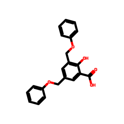 O=C(O)c1cc(COc2ccccc2)cc(COc2ccccc2)c1O